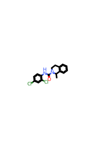 CC1c2ccccc2CCN1C(=O)Nc1ccc(Cl)cc1Cl